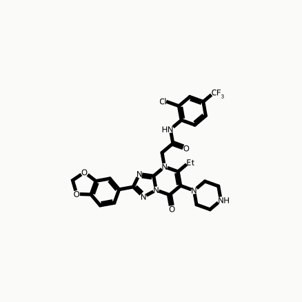 CCc1c(N2CCNCC2)c(=O)n2nc(-c3ccc4c(c3)OCO4)nc2n1CC(=O)Nc1ccc(C(F)(F)F)cc1Cl